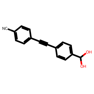 N#Cc1ccc(C#Cc2ccc(C(O)O)cc2)cc1